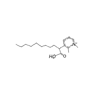 CCCCCCCCCC(C(=O)O)c1ccc[n+](C)c1C